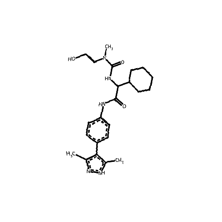 Cc1n[nH]c(C)c1-c1ccc(NC(=O)C(NC(=O)N(C)CCO)C2CCCCC2)cc1